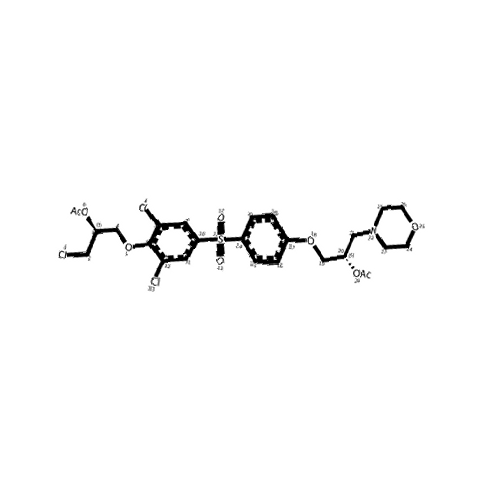 CC(=O)O[C@H](CCl)COc1c(Cl)cc(S(=O)(=O)c2ccc(OC[C@H](CN3CCOCC3)OC(C)=O)cc2)cc1Cl